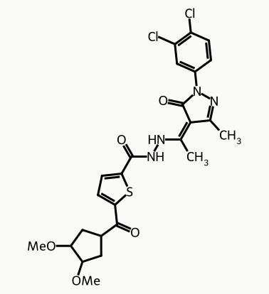 COC1CC(C(=O)c2ccc(C(=O)NN/C(C)=C3\C(=O)N(c4ccc(Cl)c(Cl)c4)N=C3C)s2)CC1OC